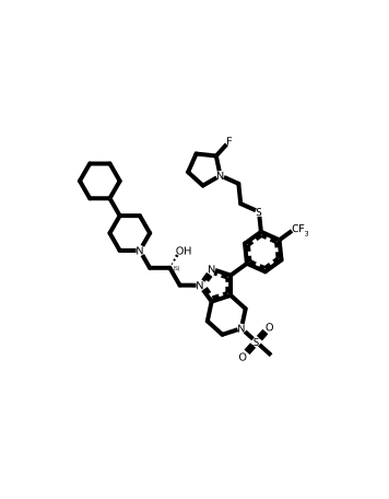 CS(=O)(=O)N1CCc2c(c(-c3ccc(C(F)(F)F)c(SCCN4CCCC4F)c3)nn2C[C@@H](O)CN2CCC(C3CCCCC3)CC2)C1